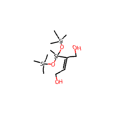 C[Si](C)(C)O[Si](C)(O[Si](C)(C)C)/C(=C\CO)CO